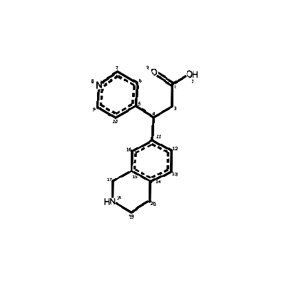 O=C(O)CC(c1ccncc1)c1ccc2c(c1)CNCC2